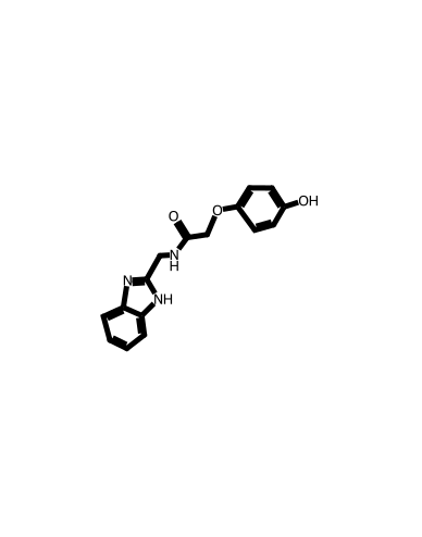 O=C(COc1ccc(O)cc1)NCc1nc2ccccc2[nH]1